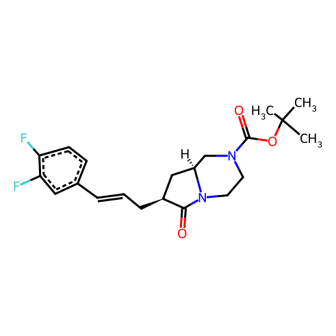 CC(C)(C)OC(=O)N1CCN2C(=O)[C@@H](C/C=C/c3ccc(F)c(F)c3)C[C@H]2C1